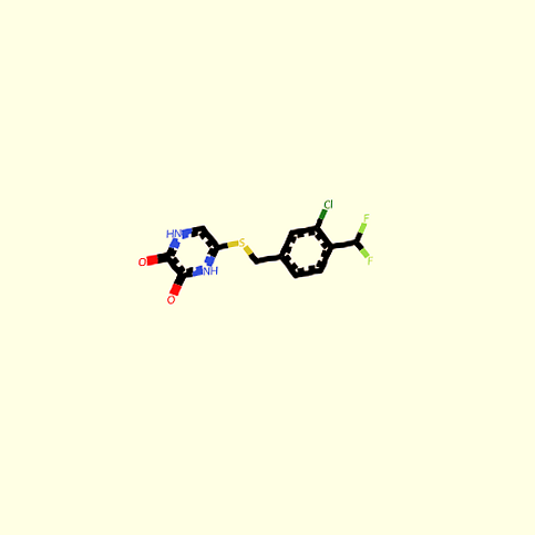 O=c1[nH]cc(SCc2ccc(C(F)F)c(Cl)c2)[nH]c1=O